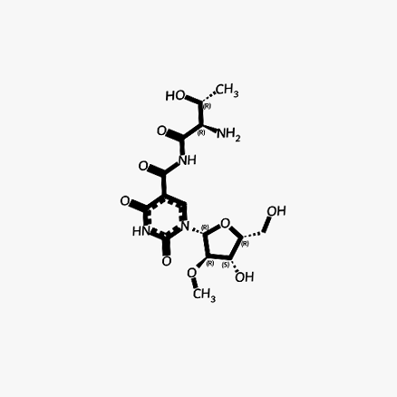 CO[C@@H]1[C@@H](O)[C@@H](CO)O[C@H]1n1cc(C(=O)NC(=O)[C@H](N)[C@@H](C)O)c(=O)[nH]c1=O